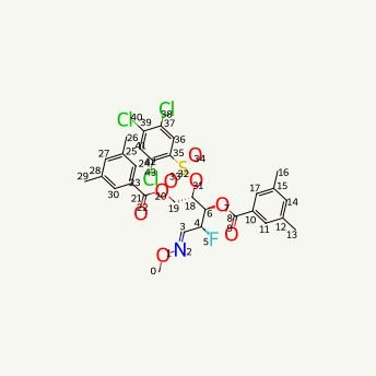 CON=C[C@H](F)[C@H](OC(=O)c1cc(C)cc(C)c1)[C@H](COC(=O)c1cc(C)cc(C)c1)OS(=O)(=O)c1cc(Cl)c(Cl)cc1Cl